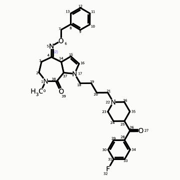 CN1CC/C(=N/OCc2ccccc2)C2C=CN(CCCCN3CCC(C(=O)c4ccc(F)cc4)CC3)C2C1=O